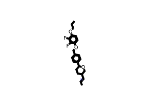 C/C=C/C1CCC(c2ccc(COc3ccc(OCCC)c(F)c3F)cc2)OC1